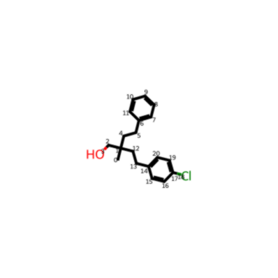 CC(CO)(CCc1ccccc1)CCc1ccc(Cl)cc1